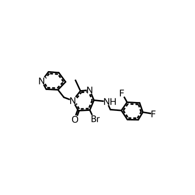 Cc1nc(NCc2ccc(F)cc2F)c(Br)c(=O)n1Cc1cccnc1